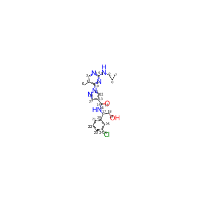 Cc1cnc(NC2CC2)nc1-n1cc(C(=O)NC(CO)c2cccc(Cl)c2)cn1